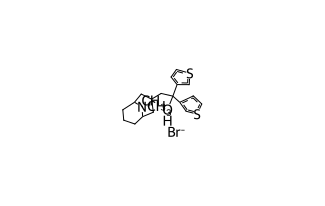 C[N+]1(C)C2CCCC1CC(CC(O)(c1ccsc1)c1ccsc1)C2.[Br-]